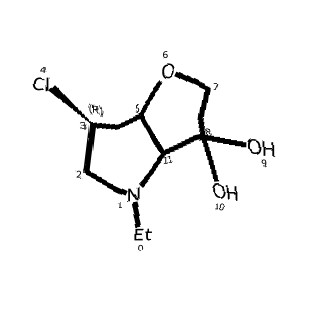 CCN1C[C@@H](Cl)C2OCC(O)(O)C21